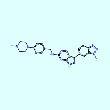 CCn1nnc2ccc(-c3c[nH]c4nc(NCc5ccc(N6CCN(C)CC6)nc5)ncc34)cc21